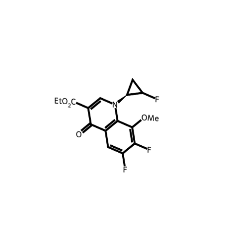 CCOC(=O)c1cn([C@H]2CC2F)c2c(OC)c(F)c(F)cc2c1=O